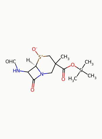 CC1(C(=O)O[Si](C)(C)C)CN2C(=O)C(NC=O)[C@H]2[S+]([O-])C1